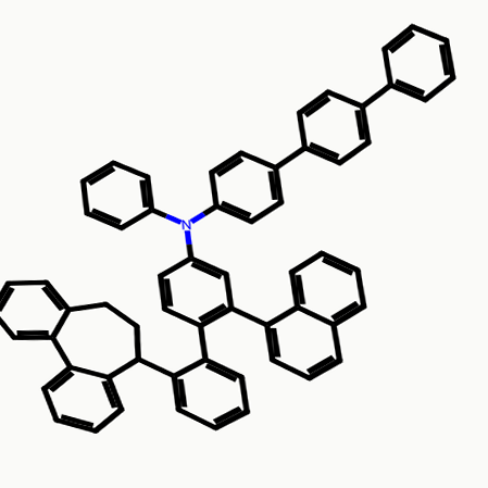 c1ccc(-c2ccc(-c3ccc(N(c4ccccc4)c4ccc(-c5ccccc5C5CCc6ccccc6-c6ccccc65)c(-c5cccc6ccccc56)c4)cc3)cc2)cc1